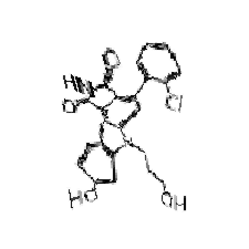 O=C1NC(=O)c2c1c(-c1ccccc1Cl)cc1c2c2ccc(O)cc2n1CCCO